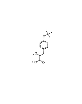 COC(Cc1ccc(OC(C)(C)C)cc1)C(=O)O